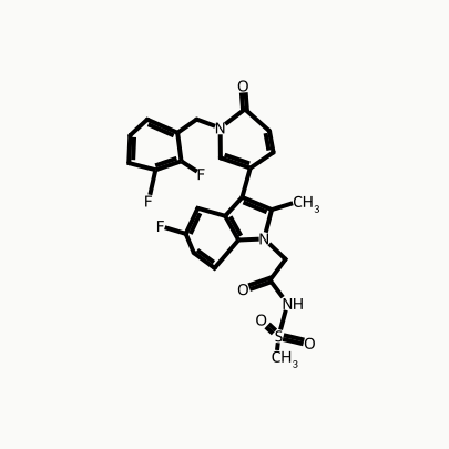 Cc1c(-c2ccc(=O)n(Cc3cccc(F)c3F)c2)c2cc(F)ccc2n1CC(=O)NS(C)(=O)=O